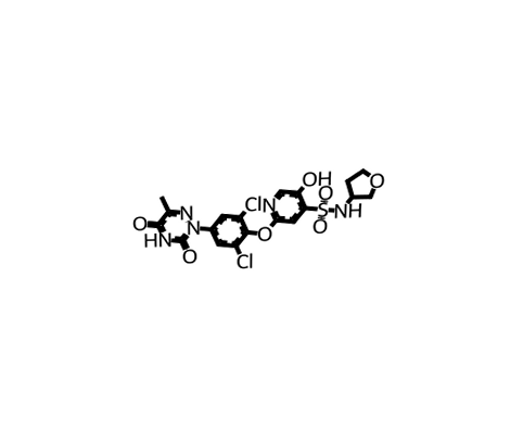 Cc1nn(-c2cc(Cl)c(Oc3cc(S(=O)(=O)NC4CCOC4)c(O)cn3)c(Cl)c2)c(=O)[nH]c1=O